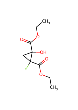 CCOC(=O)C1(O)CC1(F)C(=O)OCC